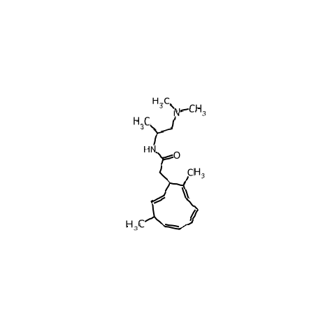 C\C1=C/C=C\C=C/C(C)/C=C/C1CC(=O)NC(C)CN(C)C